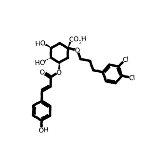 O=C(/C=C/c1ccc(O)cc1)O[C@@H]1C[C@](OCCCc2ccc(Cl)c(Cl)c2)(C(=O)O)C[C@H](O)[C@H]1O